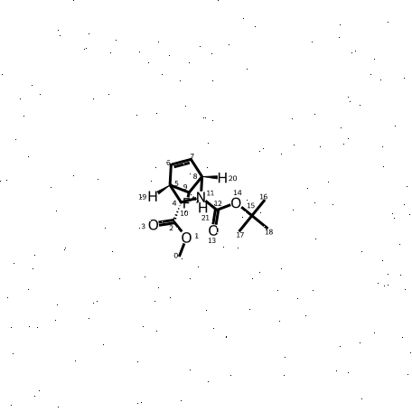 COC(=O)[C@@H]1[C@@H]2C=C[C@@H]([C@H]2F)N1C(=O)OC(C)(C)C